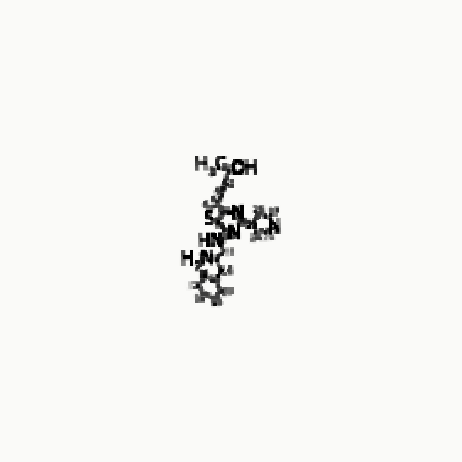 CC(O)C#Cc1csc2c(NC[C@@H](N)Cc3ccccc3)nc(-c3ccncc3)nc12